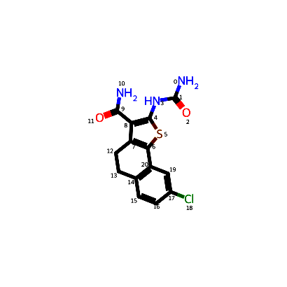 NC(=O)Nc1sc2c(c1C(N)=O)CCc1ccc(Cl)cc1-2